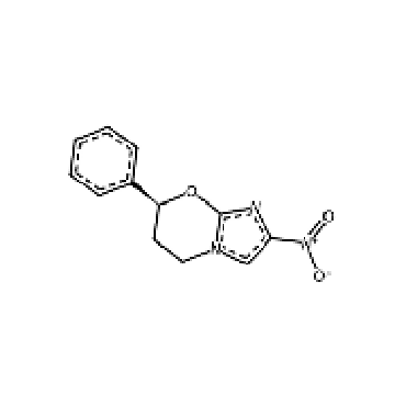 O=[N+]([O-])c1cn2c(n1)O[C@H](c1ccccc1)CC2